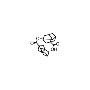 O=C(O)C12CC3CC(CC(C3)C1)C2.O=C(O)C12CC3CC4(C1)CC4(C3)C2